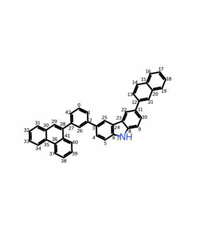 c1cc(-c2ccc3[nH]c4ccc(-c5ccc6ccccc6c5)cc4c3c2)cc(-c2cc3ccccc3c3ccccc23)c1